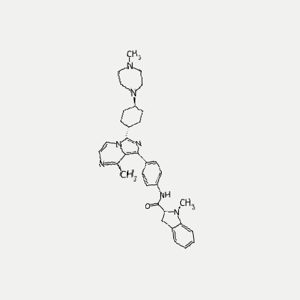 Cc1nccn2c1c(-c1ccc(NC(=O)C3Cc4ccccc4N3C)cc1)nc2[C@H]1CC[C@H](N2CCN(C)CC2)CC1